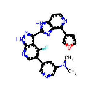 CN(C)c1cncc(-c2cnc3[nH]nc(-c4nc5c(-c6ccoc6)nccc5[nH]4)c3c2F)c1